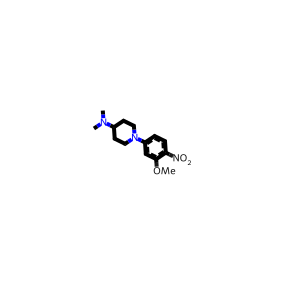 COc1cc(N2CCC(N(C)C)CC2)ccc1[N+](=O)[O-]